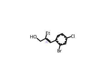 CC/C(=C\c1ccc(Cl)cc1Br)CO